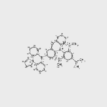 CC(C)c1cc(C(C)C)c(B2c3ccccc3Oc3cc(N4c5ccccc5[Si]5(C=CC=C5)c5ccccc54)ccc32)c(C(C)C)c1